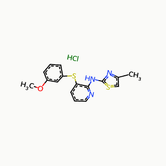 COc1cccc(Sc2cccnc2Nc2nc(C)cs2)c1.Cl